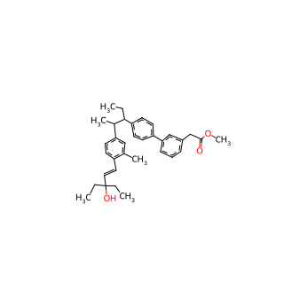 CCC(c1ccc(-c2cccc(CC(=O)OC)c2)cc1)C(C)c1ccc(C=CC(O)(CC)CC)c(C)c1